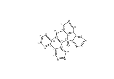 O=P1(c2ccccc2)c2ccccc2Oc2c1c1ccccc1c1ccccc21